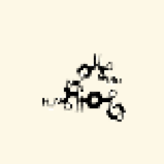 CC(C)(C)OC(=O)NC1CCN(c2ncc(C(N)=O)c(Nc3ccc(C(=O)N4CCOCC4)cc3)n2)C1